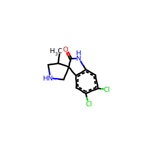 CC1CNCC12C(=O)Nc1cc(Cl)c(Cl)cc12